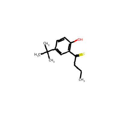 CCCC(=S)c1cc(C(C)(C)C)ccc1O